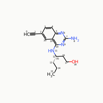 C#Cc1ccc2nc(N)nc(N[C@@H](CCC)CCO)c2c1